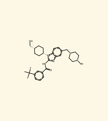 CC(C)N1CCN(Cc2ccc3c(c2)nc(NC(=O)c2cccc(C(C)(F)F)c2)n3[C@H]2CC[C@@H](CO)CC2)CC1